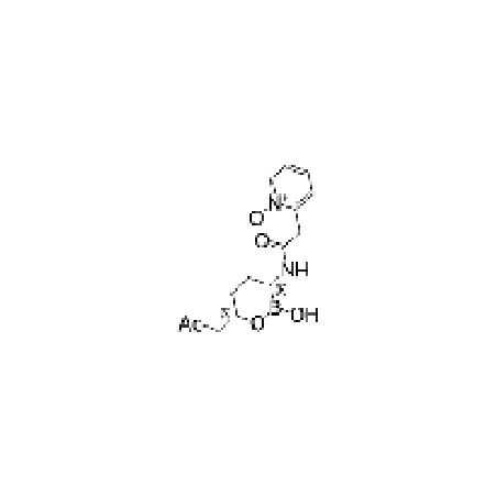 CC(=O)C[C@@H]1CC[C@H](NC(=O)Cc2cccc[n+]2[O-])B(O)O1